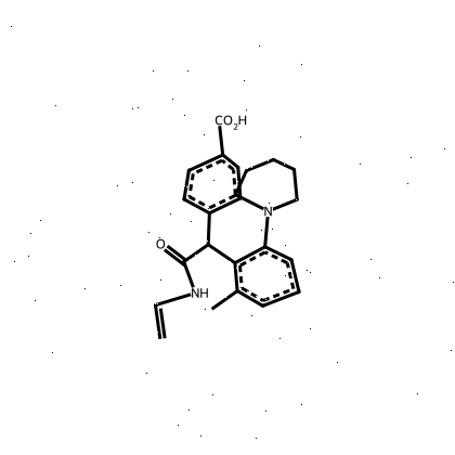 C=CNC(=O)C(c1ccc(C(=O)O)cc1)c1c(C)cccc1N1CCCCC1